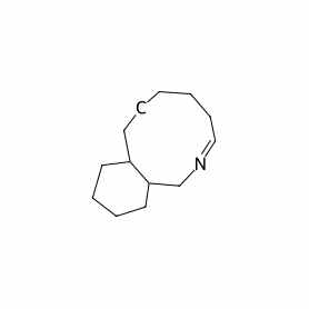 C1=NCC2CCCCC2CCCCC1